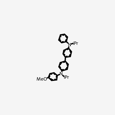 COc1ccc(N(c2ccc(-c3ccc(N(c4ccccc4)C(C)C)cc3)cc2)C(C)C)cc1